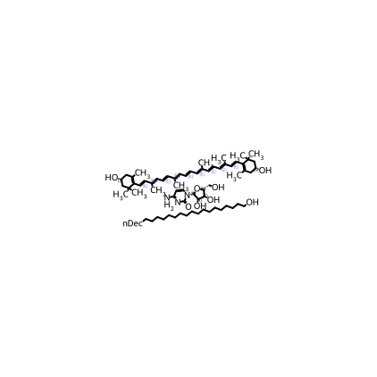 CC1=C(/C=C/C(C)=C/C=C/C(C)=C/C=C/C=C(C)/C=C/C=C(C)/C=C/C2=C(C)C[C@@H](O)CC2(C)C)C(C)(C)C[C@H](O)C1.CCCCCCCCCCCCCCCCCCCCCCCCCCCCO.Nc1ccn([C@@H]2O[C@H](CO)[C@@H](O)[C@H]2O)c(=O)n1